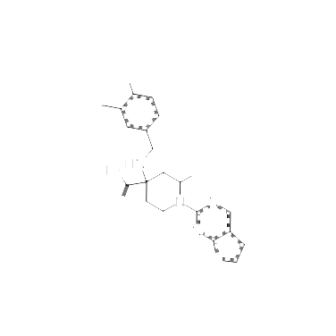 O=C(O)C1(NCc2ccc(Cl)c(Cl)c2)CCN(c2ncc3ccsc3n2)C(Cl)C1